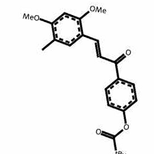 COc1cc(OC)c(/C=C/C(=O)c2ccc(OC(=O)C(C)(C)C)cc2)cc1C